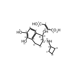 O=C(O)C=CC(=O)O.Oc1ccc2c(c1O)CC[C@@H](NC1CCC1)[C@@H]2O